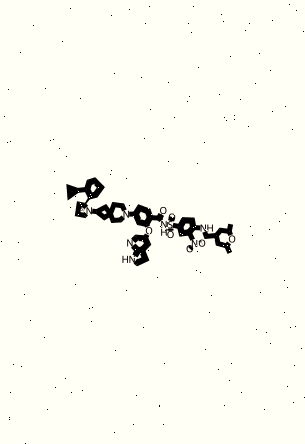 CC1CC(CNc2ccc(S(=O)(=O)NC(=O)c3ccc(N4CCC5(CC4)CC(N4CCC[C@H]4c4ccccc4C4CC4)C5)cc3Oc3cnc4[nH]ccc4c3)cc2[N+](=O)[O-])CC(C)O1